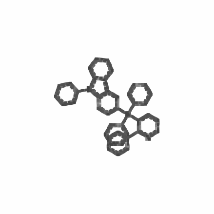 c1ccc(-c2ncccc2[Si](c2ccccc2)(c2ccccc2)c2ccc3c(c2)c2ccccc2n3-c2ccccc2)cc1